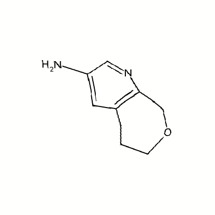 Nc1cnc2c(c1)CCOC2